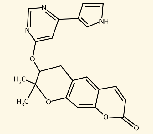 CC1(C)Oc2cc3oc(=O)ccc3cc2CC1Oc1cc(-c2cc[nH]c2)ncn1